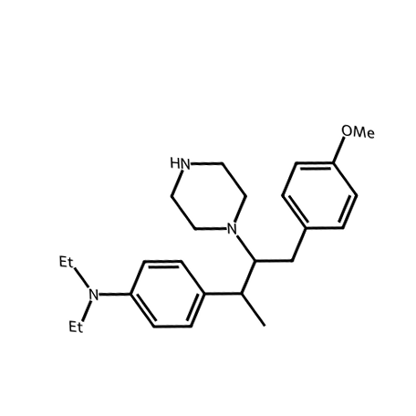 CCN(CC)c1ccc(C(C)C(Cc2ccc(OC)cc2)N2CCNCC2)cc1